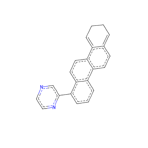 C1=c2ccc3c(ccc4c(-c5cnccn5)cccc43)c2=CCC1